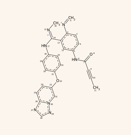 C=Nc1ccc(NC(=O)C#CC)cc1/C(=N\C)Nc1ccc(Oc2ccc3ncnn3c2)cc1